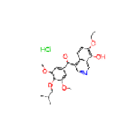 CCOc1ccc2c(C(=O)c3cc(OC)c(OCC(C)C)c(OC)c3)cncc2c1O.Cl